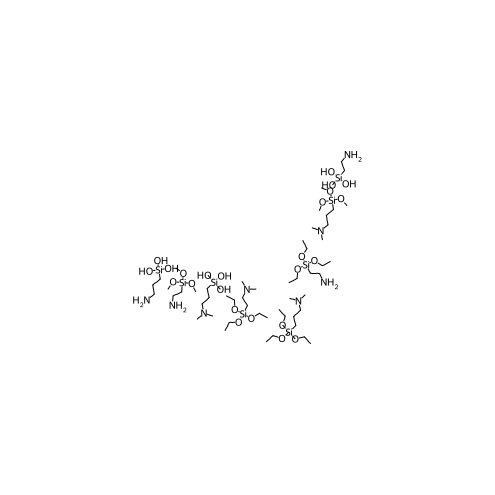 CCO[Si](CCCN(C)C)(OCC)OCC.CCO[Si](CCN(C)C)(OCC)OCC.CCO[Si](CCN)(OCC)OCC.CN(C)CCC[Si](O)(O)O.CO[Si](CCCN(C)C)(OC)OC.CO[Si](CCN)(OC)OC.NCCC[Si](O)(O)O.NCC[Si](O)(O)O